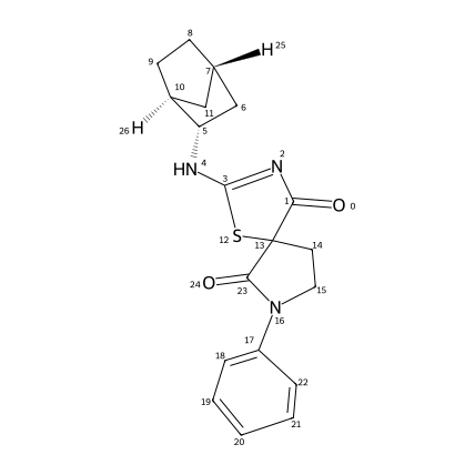 O=C1N=C(N[C@H]2C[C@H]3CC[C@H]2C3)SC12CCN(c1ccccc1)C2=O